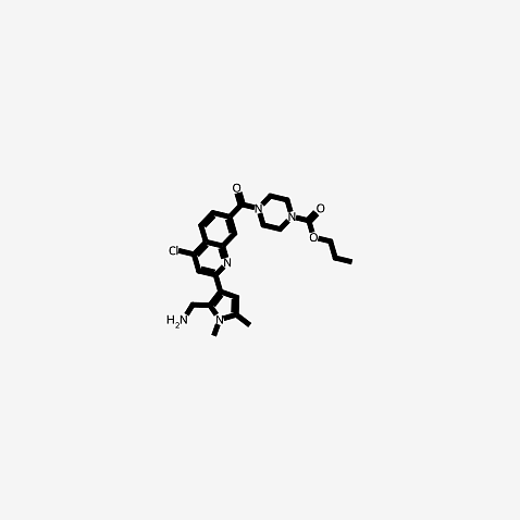 CCCOC(=O)N1CCN(C(=O)c2ccc3c(Cl)cc(-c4cc(C)n(C)c4CN)nc3c2)CC1